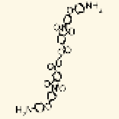 Nc1ccc(Oc2ccc(N3C(=O)c4ccc(C(=O)OCCOC(=O)c5ccc6c(c5)C(=O)N(c5ccc(Oc7ccc(N)cc7)cc5)C6=O)cc4C3=O)cc2)cc1